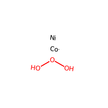 OOO.[Co].[Ni]